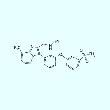 CC(C)NCc1nc2c(C(F)(F)F)cccn2c1-c1cccc(Oc2cccc(S(C)(=O)=O)c2)c1